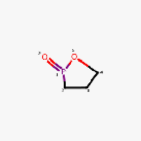 O=[P]1CCCO1